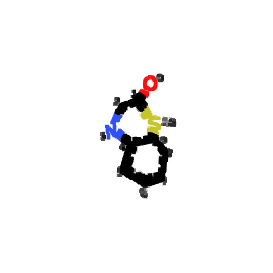 O=c1cnc2ccccc2s1